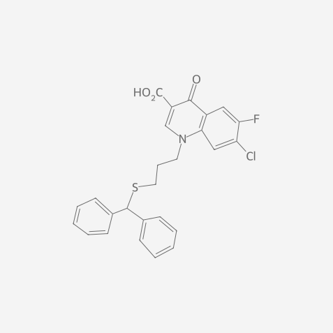 O=C(O)c1cn(CCCSC(c2ccccc2)c2ccccc2)c2cc(Cl)c(F)cc2c1=O